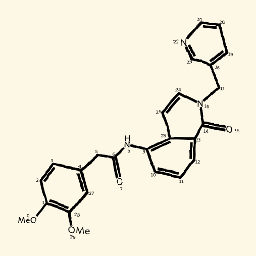 COc1ccc(CC(=O)Nc2cccc3c(=O)n(Cc4cccnc4)ccc23)cc1OC